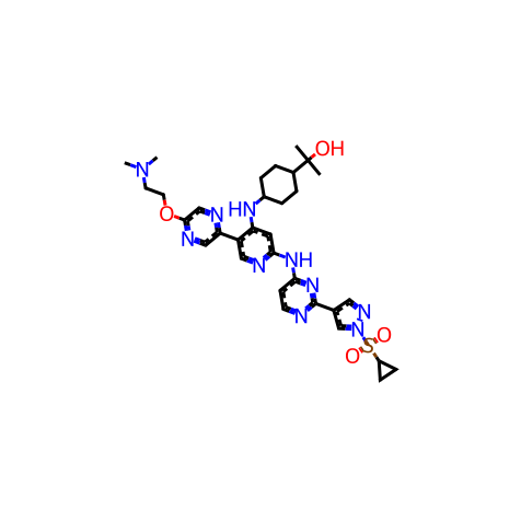 CN(C)CCOc1cnc(-c2cnc(Nc3ccnc(-c4cnn(S(=O)(=O)C5CC5)c4)n3)cc2NC2CCC(C(C)(C)O)CC2)cn1